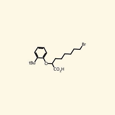 CC(C)(C)c1ccccc1OC(CCCCCCBr)C(=O)O